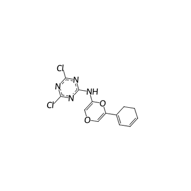 Clc1nc(Cl)nc(NC2=COC=C(C3=CC=CCC3)O2)n1